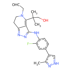 Cc1n[nH]cc1-c1ccc(NC2=NN=C3CCN(CC=O)C(C(C)(C)CO)=C32)c(F)c1